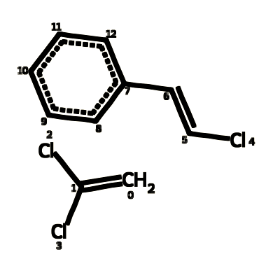 C=C(Cl)Cl.ClC=Cc1ccccc1